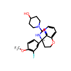 O=C(N[C@]1(c2ccc(OC(F)(F)F)c(F)c2)CCOc2cccnc21)N1CCC(O)CC1